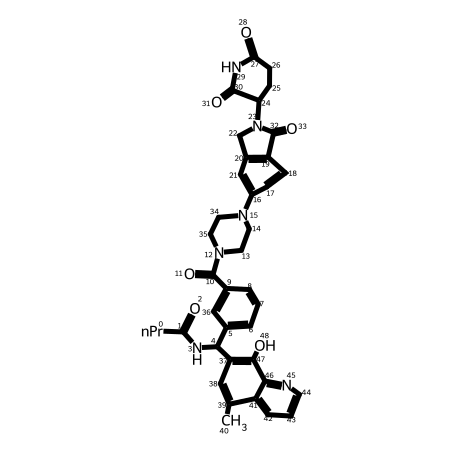 CCCC(=O)NC(c1cccc(C(=O)N2CCN(c3ccc4c(c3)CN(C3CCC(=O)NC3=O)C4=O)CC2)c1)c1cc(C)c2cccnc2c1O